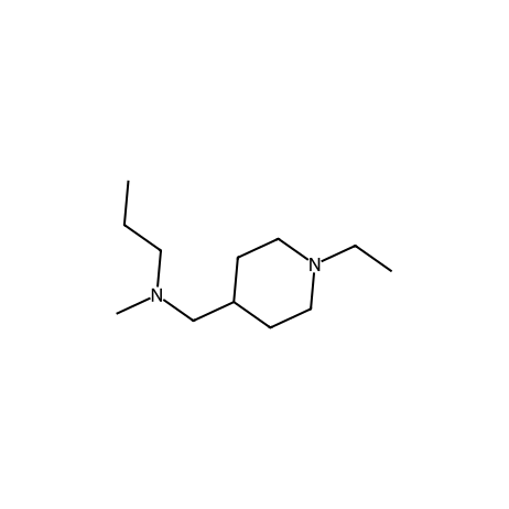 CCCN(C)CC1CCN(CC)CC1